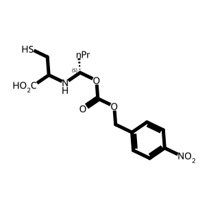 CCC[C@@H](NC(CS)C(=O)O)OC(=O)OCc1ccc([N+](=O)[O-])cc1